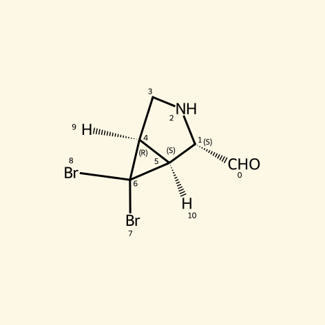 O=C[C@H]1NC[C@H]2[C@@H]1C2(Br)Br